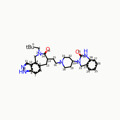 CC(C)(C)CN1Cc2c(ccc3[nH]ncc23)CC(CCN2CCC(N3Cc4ccccc4NC3=O)CC2)C1=O